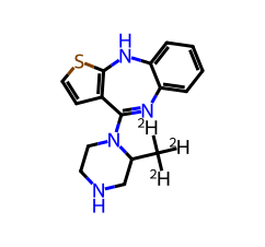 [2H]C([2H])([2H])C1CNCCN1C1=Nc2ccccc2Nc2sccc21